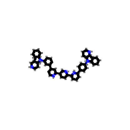 c1cc(-c2ccnc(-c3ccc(-c4cccc(-c5ccc(-n6c7ccccc7c7ncccc76)cc5)n4)nc3)c2)cc(-n2c3ccccc3c3cnccc32)c1